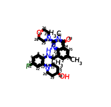 Cc1cc([C@H](C)Nc2ccc(F)cc2N2CCC(O)CC2)c2nc(N3CCOCC3)n(C)c(=O)c2c1